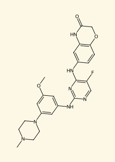 COc1cc(Nc2ncc(F)c(Nc3ccc4c(c3)NC(=O)CO4)n2)cc(N2CCN(C)CC2)c1